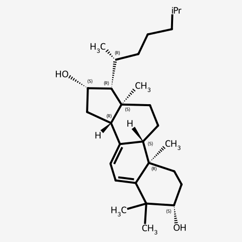 CC(C)CCC[C@@H](C)[C@H]1[C@@H](O)C[C@H]2C3=CC=C4C(C)(C)[C@@H](O)CC[C@]4(C)[C@H]3CC[C@]12C